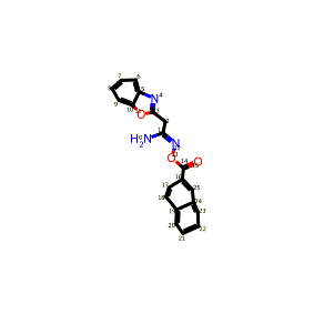 NC(Cc1nc2ccccc2o1)=NOC(=O)c1ccc2ccccc2c1